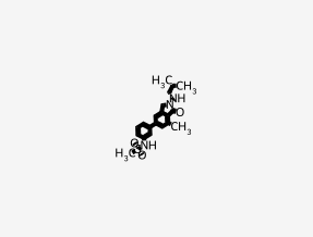 Cc1cc(-c2cccc(NS(C)(=O)=O)c2)cc2c1C(=O)N(NCC(C)C)C2